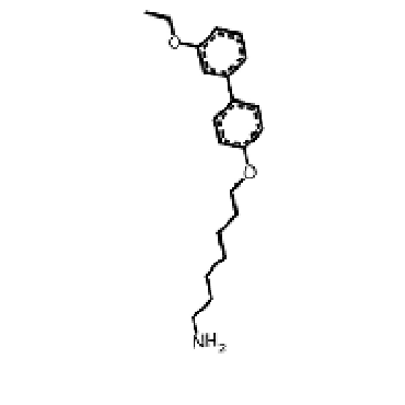 CCOc1cccc(-c2ccc(OCCCCCCCN)cc2)c1